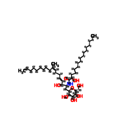 CCCCCCCCCCCCCCC[C@@H](O)C(=O)NC(CC1O[C@H](CO)[C@@H](O)[C@H](O)[C@H]1O)C(O)C=CCCC=C(C)CCCCCCCCC